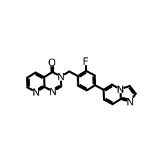 O=c1c2cccnc2ncn1Cc1ccc(-c2ccc3nccn3c2)cc1F